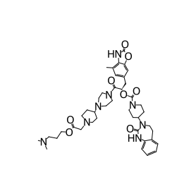 Cc1cc(C[C@@H](OC(=O)N2CCC(N3CCc4ccccc4NC3=O)CC2)C(=O)N2CCN(C3CCN(CC(=O)OCCCN(C)C)CC3)CC2)cc2oc(=O)[nH]c12